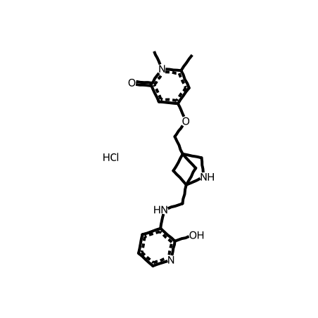 Cc1cc(OCC23CNC(CNc4cccnc4O)(C2)C3)cc(=O)n1C.Cl